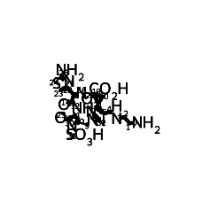 NCCNCc1cnn(C[C@@H]2[C@H](NC(=O)C(=NOC3(C(=O)O)CC3)c3csc(N)n3)C(=O)N2S(=O)(=O)O)n1